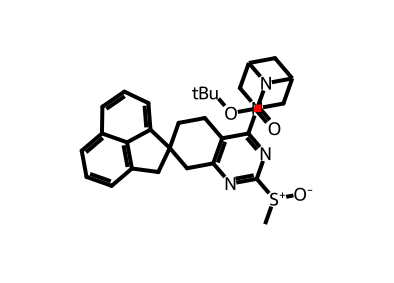 C[S+]([O-])c1nc2c(c(N3CC4CC(C3)N4C(=O)OC(C)(C)C)n1)CCC1(C2)Cc2cccc3cccc1c23